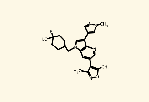 Cc1noc(C)c1-c1cnc2c(-c3cnn(C)c3)cn(CC3CCC(C)(F)CC3)c2c1